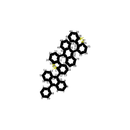 c1ccc(-c2c3ccccc3c(-c3cccc4c3sc3cccc(-c5c6ccccc6c(-c6cccc7sc8ccccc8c67)c6ccccc56)c34)c3ccccc23)cc1